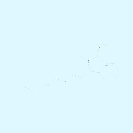 C=C(C)n1c(=O)n(CCCCCCNC(=O)O)c2ccccc21